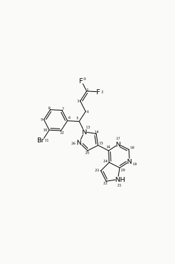 FC(F)=CCC(c1cccc(Br)c1)n1cc(-c2ncnc3[nH]ccc23)cn1